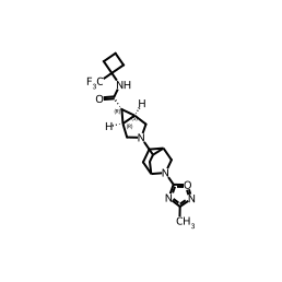 Cc1noc(N2CC3CCC2CC3N2C[C@@H]3[C@H](C2)[C@H]3C(=O)NC2(C(F)(F)F)CCC2)n1